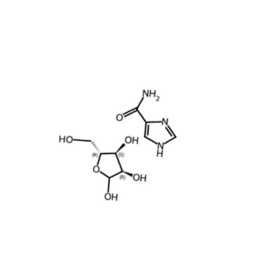 NC(=O)c1c[nH]cn1.OC[C@H]1OC(O)[C@H](O)[C@@H]1O